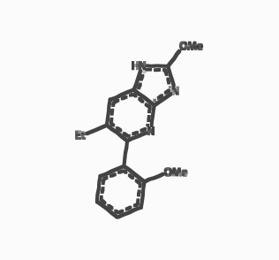 CCc1cc2[nH]c(OC)nc2nc1-c1ccccc1OC